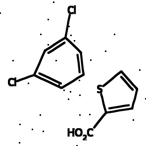 Clc1cccc(Cl)c1.O=C(O)c1cccs1